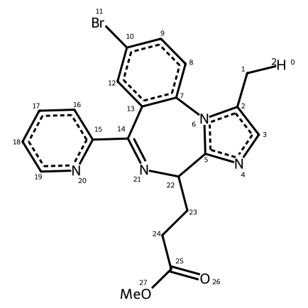 [2H]Cc1cnc2n1-c1ccc(Br)cc1C(c1ccccn1)=NC2CCC(=O)OC